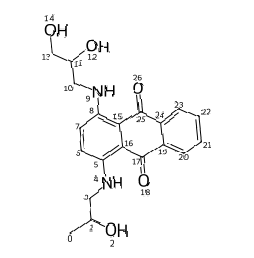 CC(O)CNc1ccc(NCC(O)CO)c2c1C(=O)c1ccccc1C2=O